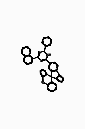 c1ccc(C2N=C(c3cccc4ccccc34)N=C(c3ccc4c(c3)C3(c5ccccc5Oc5ccccc53)c3ccccc3-4)N2)cc1